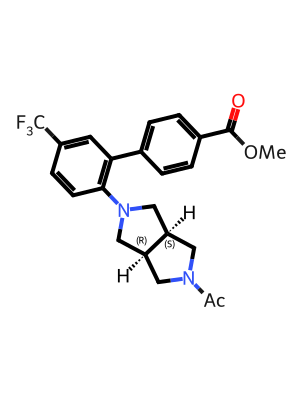 COC(=O)c1ccc(-c2cc(C(F)(F)F)ccc2N2C[C@H]3CN(C(C)=O)C[C@H]3C2)cc1